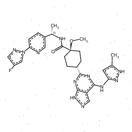 CO[C@]1(C(=O)N[C@@H](C)c2ccc(-n3cc(F)cn3)nc2)CC[C@@H](c2nc(Nc3cc(C)[nH]n3)c3cn[nH]c3n2)CC1